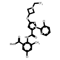 CNC(=O)c1cc(Cl)cc(C)c1NC(=O)c1cc(OC2CN(CC(F)(F)F)C2)nn1-c1ncccc1Cl